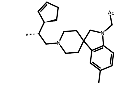 CC(=O)CN1CC2(CCN(C[C@H](C)[C@H]3C=CCC3)CC2)c2cc(C)ccc21